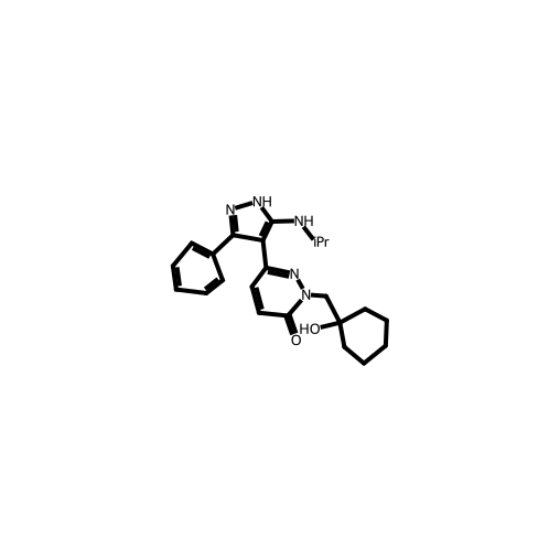 CC(C)Nc1[nH]nc(-c2ccccc2)c1-c1ccc(=O)n(CC2(O)CCCCC2)n1